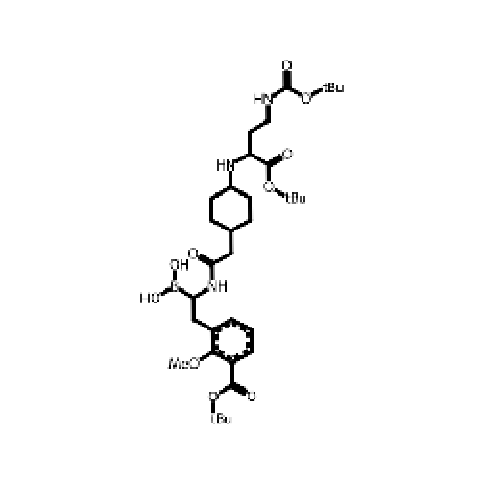 COc1c(CC(NC(=O)CC2CCC(NC(CCNC(=O)OC(C)(C)C)C(=O)OC(C)(C)C)CC2)B(O)O)cccc1C(=O)OC(C)(C)C